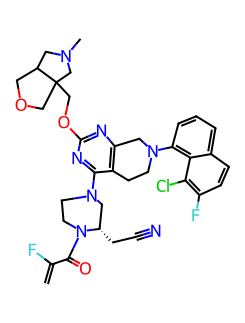 C=C(F)C(=O)N1CCN(c2nc(OCC34COCC3CN(C)C4)nc3c2CCN(c2cccc4ccc(F)c(Cl)c24)C3)C[C@@H]1CC#N